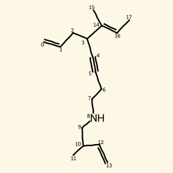 C=CCC(C#CCCNCC(C)C=C)/C(C)=C/C